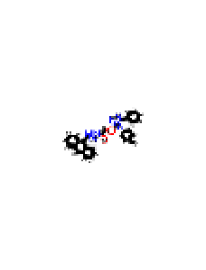 Cc1ccc(-n2c(OCC(=O)N/N=C/c3c4ccccc4cc4ccccc34)nnc2-c2ccccc2)cc1